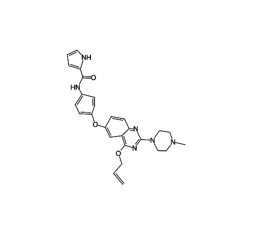 C=CCOc1nc(N2CCN(C)CC2)nc2ccc(Oc3ccc(NC(=O)c4ccc[nH]4)cc3)cc12